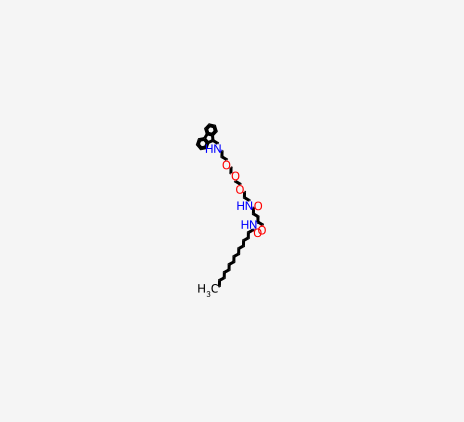 CCCCCCCCCCCCCCCC(=O)NC(C=O)CCC(=O)NCCCOCCOCCOCCCNCC1c2ccccc2-c2ccccc21